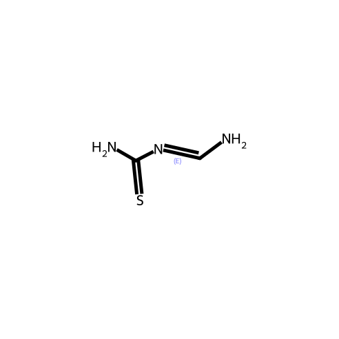 N/C=N/C(N)=S